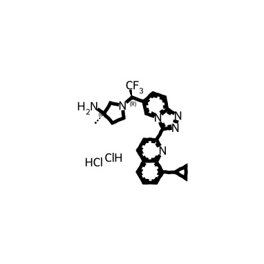 C[C@@]1(N)CCN([C@H](c2ccc3nnc(-c4ccc5cccc(C6CC6)c5n4)n3c2)C(F)(F)F)C1.Cl.Cl